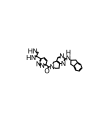 N=CC(=N)c1ccc(C(=O)N2CCc3nc(NC4Cc5ccccc5C4)ncc3C2)nn1